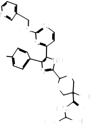 CC(C)NC(=O)C1(C)COC(c2nc(-c3ccc(F)cc3)c(-c3ccnc(NCc4cccnc4)n3)[nH]2)OC1